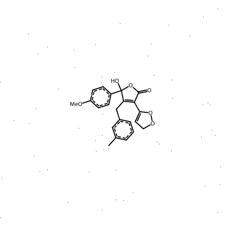 COc1ccc(C2(O)OC(=O)C(C3=CCOO3)=C2Cc2cccc(C)c2)cc1